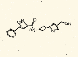 O=C(N[C@H]1C[C@H](n2cc(CO)cn2)C1)c1cc(-c2ccccc2)on1